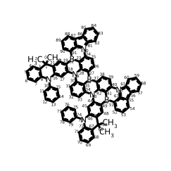 CC1(C)c2ccccc2N(c2ccccc2)c2cc3c(cc21)B1c2c(ccc4c2N3c2cccc3c2B4c2ccc4c5c2N3c2cc3c(cc2B5c2cccc5c6ccccc6n-4c25)C(C)(C)c2ccccc2N3c2ccccc2)-n2c3ccccc3c3cccc1c32